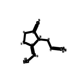 C=CCN1C(=O)CSC1=NO